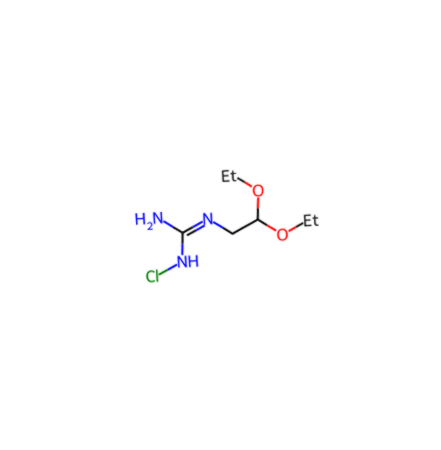 CCOC(CN=C(N)NCl)OCC